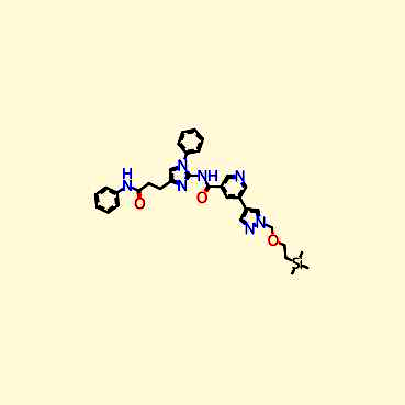 C[Si](C)(C)CCOCn1cc(-c2cncc(C(=O)Nc3nc(CCC(=O)Nc4ccccc4)cn3-c3ccccc3)c2)cn1